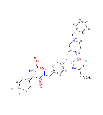 CCC(=O)N[C@H](Cc1ccc(CNC(=O)[C@@H](NC(=O)O)C2CCC(F)(F)CC2)cc1)C(=O)N1CCN(Cc2ccccc2)CC1